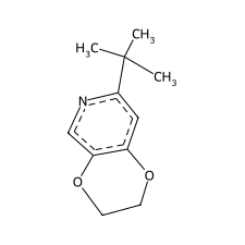 CC(C)(C)c1cc2c(cn1)OCCO2